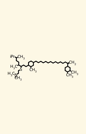 C=C(CCCCCCCCCCCCCC1CCC(CCC(SCCN(C)C)C(C)CCC(C)C(C)C)C(C)C1)C1CCC(C)C(C)C1